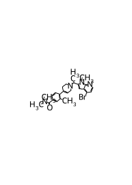 Cc1cc(C(=O)N(C)C)ccc1C1=CCN([C@@H](C)c2cc3c(Br)ccnc3n2C)CC1